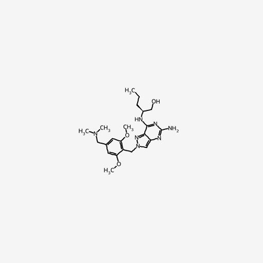 CCC[C@@H](CO)Nc1nc(N)nc2cn(Cc3c(OC)cc(CN(C)C)cc3OC)nc12